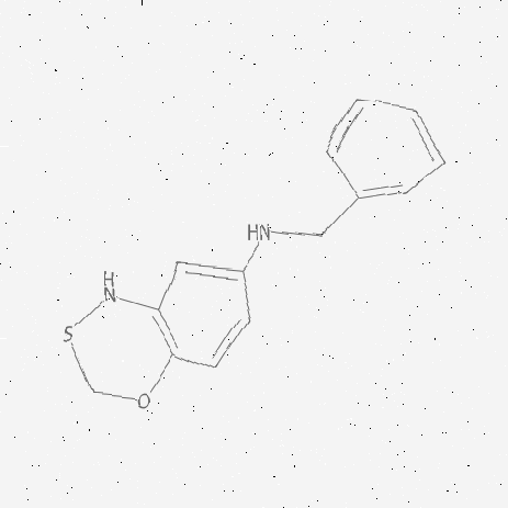 c1ccc(CNc2ccc3c(c2)NSCO3)cc1